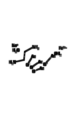 CC(=O)[O-].CC(=O)[O-].CC(=O)[O-].CC(=O)[O-].NCCN.O.O.[Fe+3].[Na+]